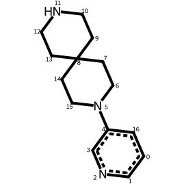 c1cncc(N2CCC3(CCNCC3)CC2)c1